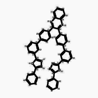 c1ccc(-c2nnc(-c3cccc(-c4ccc(-c5nc6ccccc6nc5-c5ccc(-c6cccc(-c7nnc(-c8ccccc8)o7)c6)cc5)cc4)c3)o2)cc1